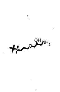 CC(C)(C)[Si](C)(C)CCCOCC(O)CN